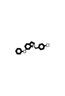 Clc1ccc(Cn2ccc3ccc(Oc4ccccc4)cc32)cc1